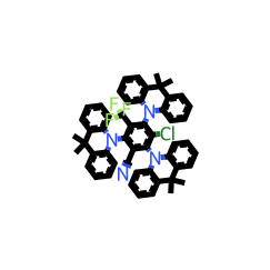 CC1(C)c2ccccc2N(c2c(Cl)c(N3c4ccccc4C(C)(C)c4ccccc43)c(C(F)(F)F)c(N3c4ccccc4C(C)(C)c4ccccc43)c2C#N)c2ccccc21